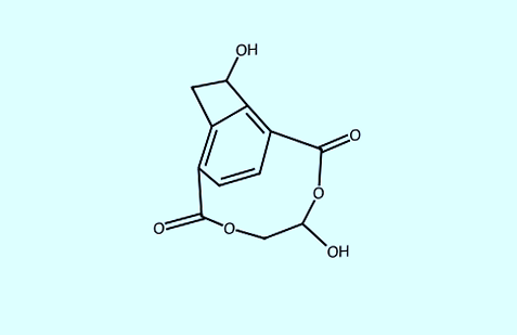 O=C1OCC(O)OC(=O)c2ccc1c1c2C(O)C1